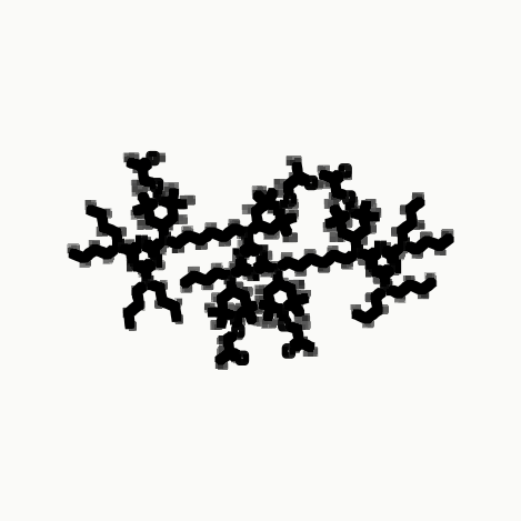 CCCCN(CCCC)c1nc(N(CCCC)CCCC)nc(N(CCCCCCN(c2nc(N(CCCC)C3CC(C)(C)N(OCC(C)=O)C(C)(C)C3)nc(N(CCCCCCN(c3nc(N(CCCC)CCCC)nc(N(CCCC)CCCC)n3)C3CC(C)(C)N(OCC(C)=O)C(C)(C)C3)C3CC(C)(C)N(OCC(C)=O)C(C)(C)C3)n2)C2CC(C)(C)N(OCC(C)=O)C(C)(C)C2)C2CC(C)(C)N(OCC(C)=O)C(C)(C)C2)n1